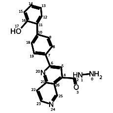 NNC(=O)c1cc(-c2ccc(-c3ccccc3O)cc2)nc2ccncc12